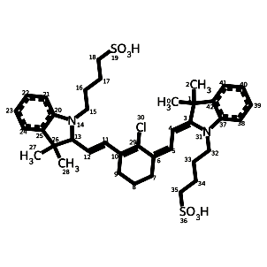 CC1(C)/C(=C/C=C2/CCCC(/C=C/C3N(CCCCS(=O)(=O)O)c4ccccc4C3(C)C)=C2Cl)N(CCCCS(=O)(=O)O)c2ccccc21